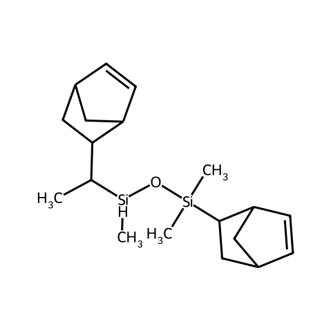 CC(C1CC2C=CC1C2)[SiH](C)O[Si](C)(C)C1CC2C=CC1C2